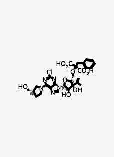 C=C(C)[C@@]1(O)[C@@H](COC(Cc2ccccc2)(C(=O)O)C(=O)O)O[C@@H](n2cnc3c(N4CC[C@H](CO)C4)nc(Cl)nc32)[C@@H]1O